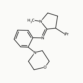 CC(C)C1CCN(C)/C1=N\c1ccccc1N1CCOCC1